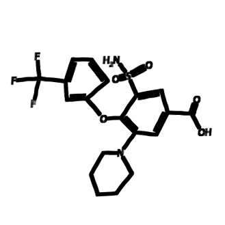 NS(=O)(=O)c1cc(C(=O)O)cc(N2CCCCC2)c1Oc1cccc(C(F)(F)F)c1